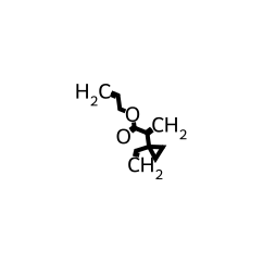 C=CCOC(=O)C(=C)C1(C=C)CC1